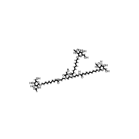 COCC(O)C(=O)N(CCCNC(=O)CCCCCCCCCO[C@@H]1OC(CO)[C@H](O)C(O)C1NC(C)=O)CCCN(CCCNC(=O)CCCCCCCCCO[C@@H]1OC(CO)[C@H](O)C(O)C1NC(C)=O)C(=O)CCCCCCCCCO[C@@H]1OC(CO)[C@H](O)C(O)C1NC(C)=O